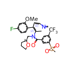 C=N/C=C\C(=C(/C)N(C[C@@H]1CCCO1)C(=O)c1cc(C(F)(F)F)cc(S(C)(=O)=O)c1)c1ccc(F)cc1OC